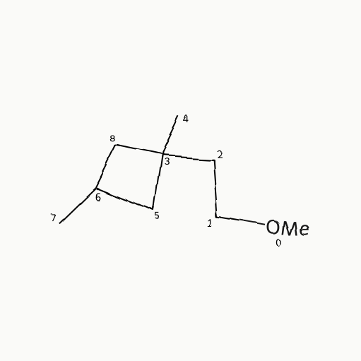 COCCC1(C)CC(C)C1